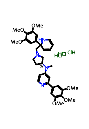 COc1cc(-c2cc(N(C)[C@H]3CCN(CC4(c5cc(OC)c(OC)c(OC)c5)C=CC=CN4)C3)ccn2)cc(OC)c1OC.Cl.Cl.Cl